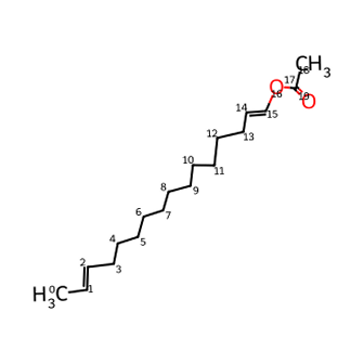 CC=CCCCCCCCCCCC/C=C/OC(C)=O